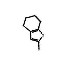 Cc1cc2c(s1)CCC[CH]2